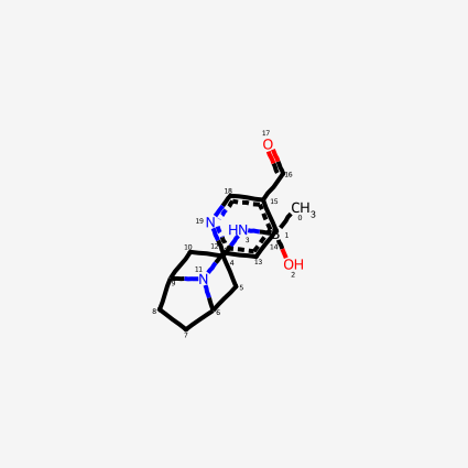 CB(O)NC1CC2CCC(C1)N2c1ccc(C=O)cn1